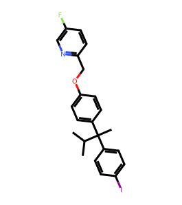 CC(C)C(C)(c1ccc(I)cc1)c1ccc(OCc2ccc(F)cn2)cc1